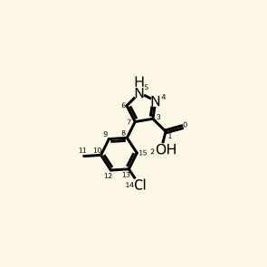 C=C(O)c1n[nH]cc1-c1cc(C)cc(Cl)c1